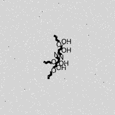 CCCCOC[C@H](O)[C@H](OCCCC)C(O)c1cnc(C[C@H](O)[C@@H](CO)OCCCC)cn1